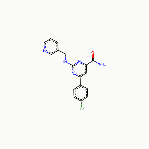 NC(=O)c1cc(-c2ccc(Br)cc2)nc(NCc2cccnc2)n1